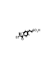 CCN(CC)C(=O)N1C=CC(CCS(=O)(=O)O)=CC1